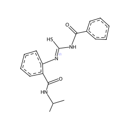 CC(C)NC(=O)c1ccccc1/N=C(\S)NC(=O)c1ccccc1